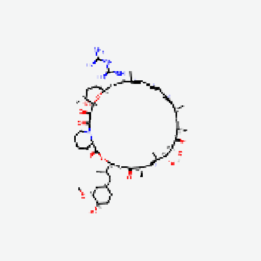 CO[C@@H]1C[C@@H](CC(C)[C@@H]2CC(=O)[C@H](C)/C=C(\C)[C@@H](O)[C@@H](OC)C(=O)[C@H](C)C[C@H](C)/C=C/C=C/C=C(/C)[C@@H](NC(=N)NC(=N)N)C[C@@H]3CC[C@@H](C)[C@@](O)(O3)C(=O)C(=O)N3CCCCC3C(=O)O2)CC[C@H]1O